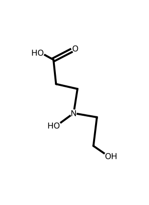 O=C(O)CCN(O)CCO